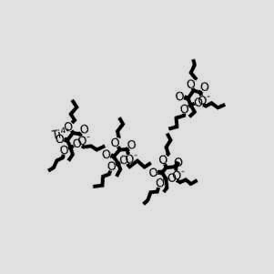 CCCCOC(C(=O)[O-])C(=O)C(CC)(OCCCC)OCCCC.CCCCOC(C(=O)[O-])C(=O)C(CC)(OCCCC)OCCCC.CCCCOC(C(=O)[O-])C(=O)C(CC)(OCCCC)OCCCC.CCCCOC(C(=O)[O-])C(=O)C(CC)(OCCCC)OCCCC.[Ti+4]